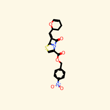 O=C(OCc1ccc([N+](=O)[O-])cc1)C1=CSC2C(=CC3CCC=CO3)C(=O)N12